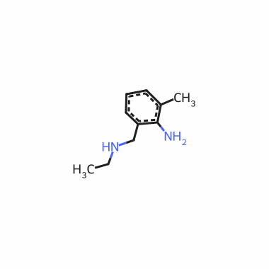 CCNCc1cccc(C)c1N